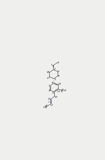 CC[C@H]1CC[C@H](c2ccc(C/C=C/F)c(F)c2)CC1